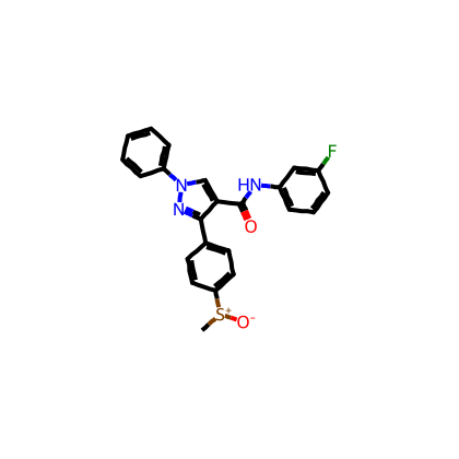 C[S+]([O-])c1ccc(-c2nn(-c3ccccc3)cc2C(=O)Nc2cccc(F)c2)cc1